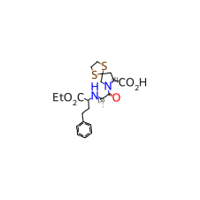 CCOC(=O)C(CCc1ccccc1)N[C@@H](C)C(=O)N1CC2(C[C@H]1C(=O)O)SCCS2